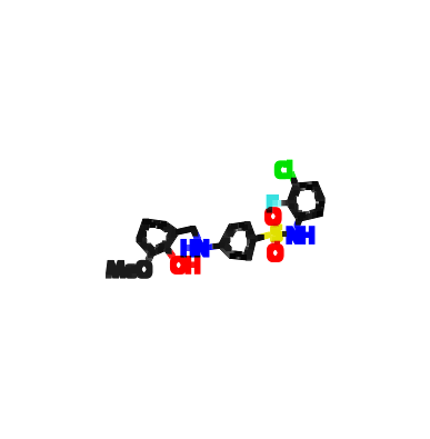 COc1cccc(CNc2ccc(S(=O)(=O)Nc3cccc(Cl)c3F)cc2)c1O